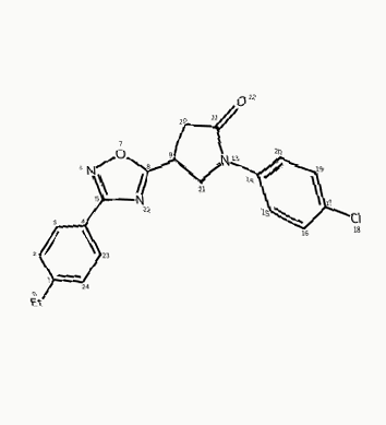 CCc1ccc(-c2noc(C3CC(=O)N(c4ccc(Cl)cc4)C3)n2)cc1